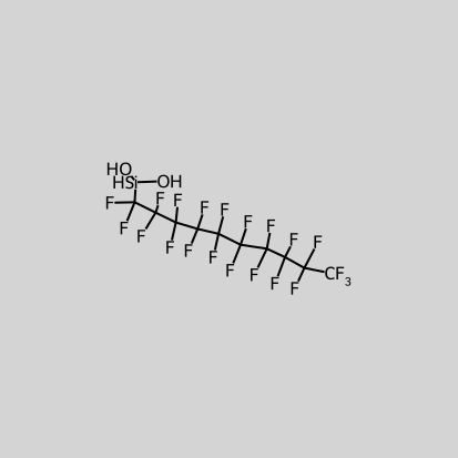 O[SiH](O)C(F)(F)C(F)(F)C(F)(F)C(F)(F)C(F)(F)C(F)(F)C(F)(F)C(F)(F)C(F)(F)C(F)(F)F